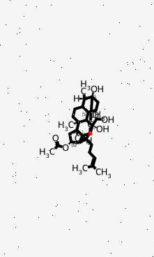 CC(=O)O[C@H]1C[C@@]2(C)[C@@H]3C[C@](O)(C(=O)O)C4[C@@]5(C)CC[C@](O)(CCC(CCC=C(C)C)=C13)[C@@H](C)C5CC[C@]42C